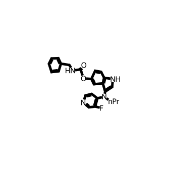 CCCN(c1ccncc1F)c1c[nH]c2ccc(OC(=O)NCc3ccccc3)cc12